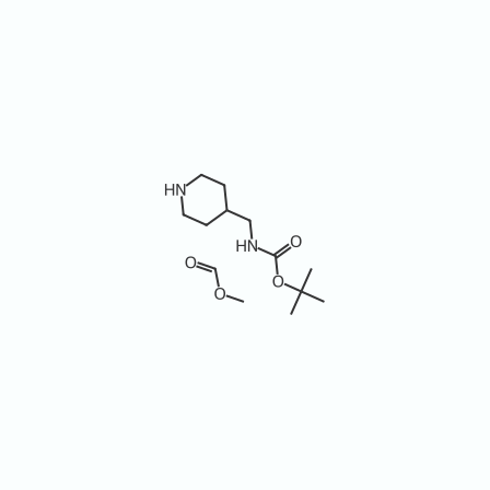 CC(C)(C)OC(=O)NCC1CCNCC1.COC=O